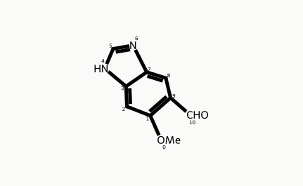 COc1cc2[nH]cnc2cc1C=O